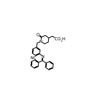 N#Cc1ccc(CN2CCC(CC(=O)O)CC2=O)cc1N=C(c1ccccc1)c1ccccc1